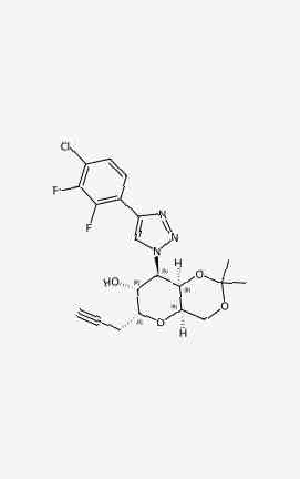 C#CC[C@H]1O[C@@H]2COC(C)(C)O[C@@H]2[C@H](n2cc(-c3ccc(Cl)c(F)c3F)nn2)[C@H]1O